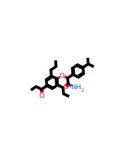 CCCc1cc(C(=O)CC)cc(CCC)c1OC(C(N)=O)c1ccc(C(C)C)cc1